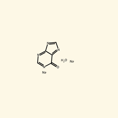 O.O=C1N=CN=C2N=CN=C12.[Na].[Na]